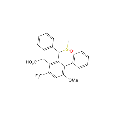 COc1cc(C(F)(F)F)c(CC(=O)O)c(C(c2ccccc2)[S+](C)[O-])c1-c1ccccc1